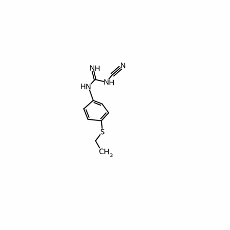 CCSc1ccc(NC(=N)NC#N)cc1